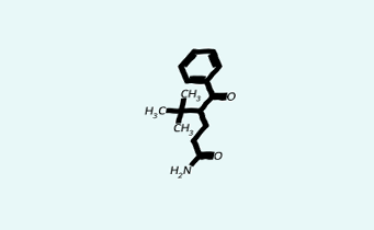 CC(C)(C)C(CCC(N)=O)C(=O)c1ccccc1